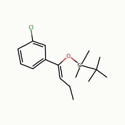 CC/C=C(\O[Si](C)(C)C(C)(C)C)c1cccc(Cl)c1